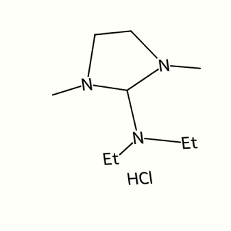 CCN(CC)C1N(C)CCN1C.Cl